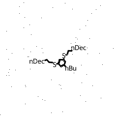 [CH2]CCCc1cc(SCCCCCCCCCCCCC)cc(SCCCCCCCCCCCCC)c1